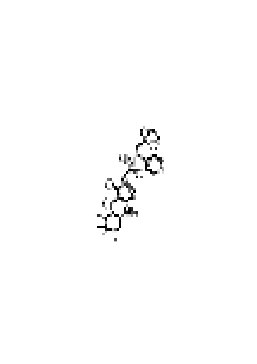 C[C@@H]1[C@@H](C)C(C)(C)[C@@H](C)C[C@H]1Nc1cnn(CC(=O)NC(CC2OCCO2)c2ccncc2)c(=O)c1Cl